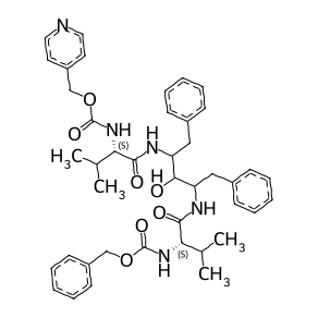 CC(C)[C@H](NC(=O)OCc1ccccc1)C(=O)NC(Cc1ccccc1)C(O)C(Cc1ccccc1)NC(=O)[C@@H](NC(=O)OCc1ccncc1)C(C)C